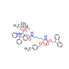 Cc1ccc(COC(=O)C(CCCCNC(=O)CCC(NC(c2ccccc2)(c2ccccc2)c2ccccc2)C(=O)OC(C)(C)C)NC(=O)OCC2c3ccccc3-c3ccccc32)cc1